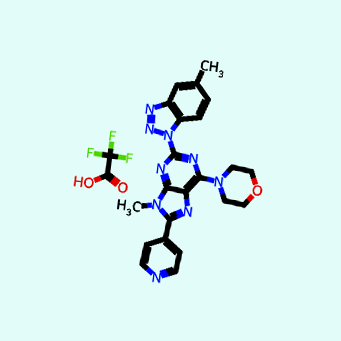 Cc1ccc2c(c1)nnn2-c1nc(N2CCOCC2)c2nc(-c3ccncc3)n(C)c2n1.O=C(O)C(F)(F)F